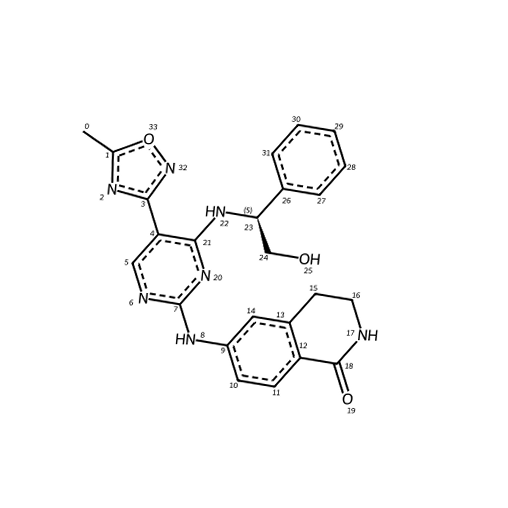 Cc1nc(-c2cnc(Nc3ccc4c(c3)CCNC4=O)nc2N[C@H](CO)c2ccccc2)no1